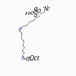 CCCCCCCC/C=C\CCCCCCC/C=C\CCCCCC(C[N+](C)(C)C)OP(=O)([O-])O